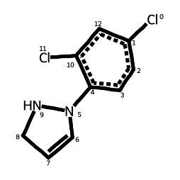 Clc1ccc(N2C=CCN2)c(Cl)c1